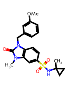 COc1cccc(Cn2c(=O)n(C)c3cc(S(=O)(=O)NC4(C)CC4)ccc32)c1